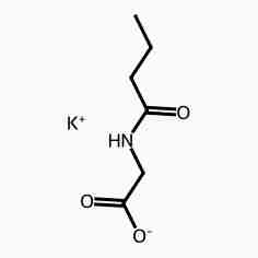 CCCC(=O)NCC(=O)[O-].[K+]